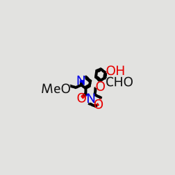 COCCc1ncccc1C(=O)N1CCOCC1COc1cccc(O)c1C=O